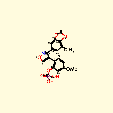 COc1ccc(-c2conc2-c2cc(C)c3c(c2)OCO3)c(OP(=O)(O)O)c1